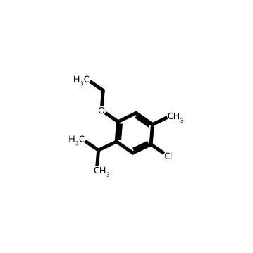 CCOc1cc(C)c(Cl)cc1C(C)C